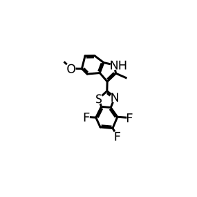 COc1ccc2[nH]c(C)c(-c3nc4c(F)c(F)cc(F)c4s3)c2c1